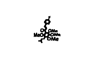 COc1c(CC=C(C)C)c(OC)c(C(=O)C=Cc2ccc(F)cc2)c(OC)c1OC